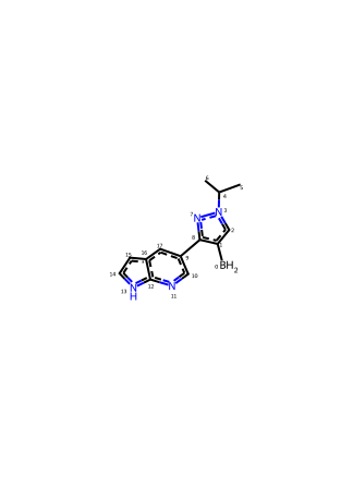 Bc1cn(C(C)C)nc1-c1cnc2[nH]ccc2c1